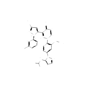 COc1cc(-n2nccc2OC(F)F)ccc1-n1ccc(=O)c(-c2cc(C)nn2-c2cccc(Cl)c2)n1